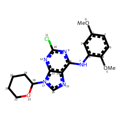 COc1ccc(OC)c(Nc2nc(Cl)nc3c2ncn3C2CCCCO2)c1